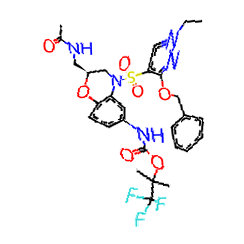 CCn1cc(S(=O)(=O)N2C[C@H](CNC(C)=O)Oc3ccc(NC(=O)OC(C)(C)C(F)(F)F)cc32)c(OCc2ccccc2)n1